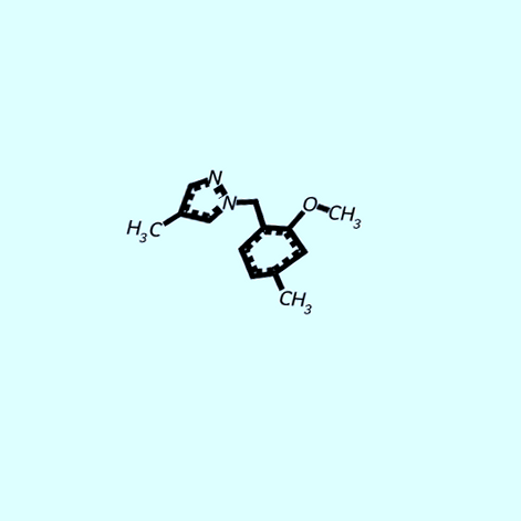 COc1cc(C)ccc1Cn1cc(C)cn1